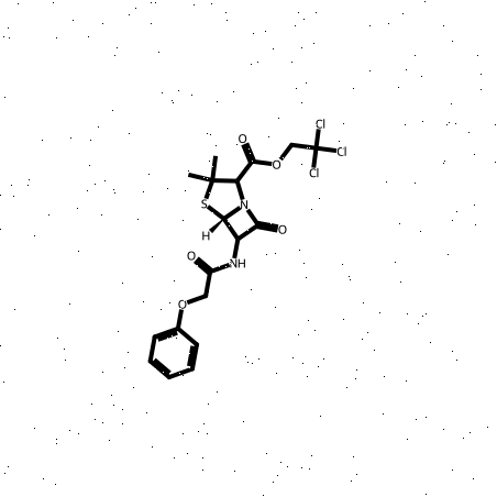 CC1(C)S[C@H]2C(NC(=O)COc3ccccc3)C(=O)N2C1C(=O)OCC(Cl)(Cl)Cl